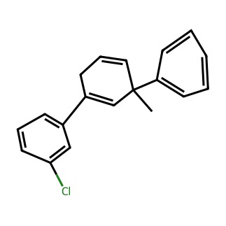 CC1(c2ccccc2)C=CCC(c2cccc(Cl)c2)=C1